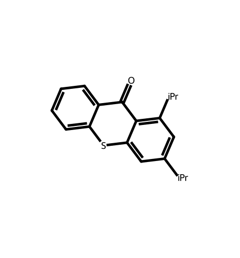 CC(C)c1cc(C(C)C)c2c(=O)c3ccccc3sc2c1